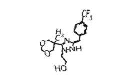 CC1(C2=NC(=Cc3ccc(C(F)(F)F)cc3)NN2CCO)COCOC1